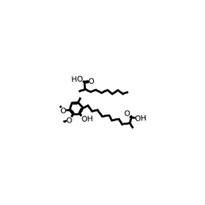 CCCCCCCCC(C)C(=O)O.COc1cc(C)c(CCCCCCCCC(C)C(=O)O)c(O)c1OC